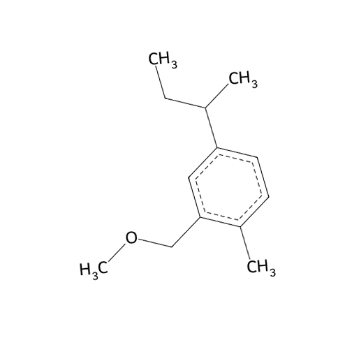 CCC(C)c1ccc(C)c(COC)c1